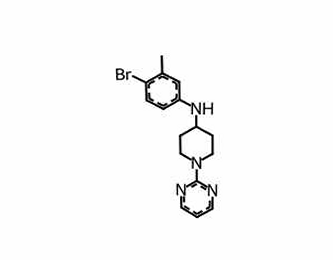 Cc1cc(NC2CCN(c3ncccn3)CC2)ccc1Br